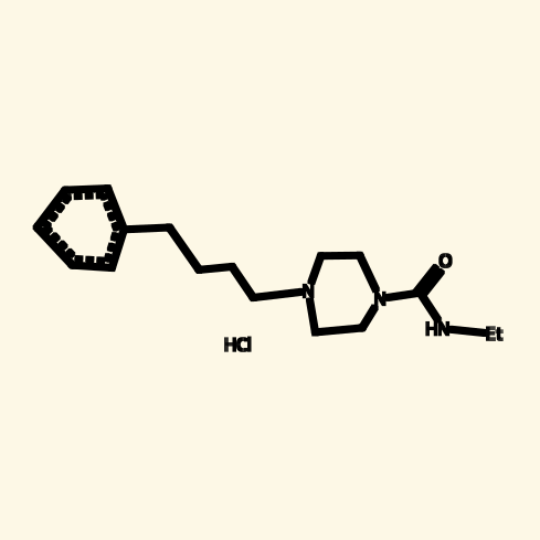 CCNC(=O)N1CCN(CCCCc2ccccc2)CC1.Cl